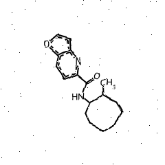 CC1CCCCCCC1NC(=O)c1ccc2occc2n1